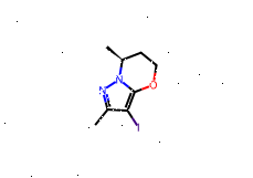 Cc1nn2c(c1I)OCC[C@@H]2C